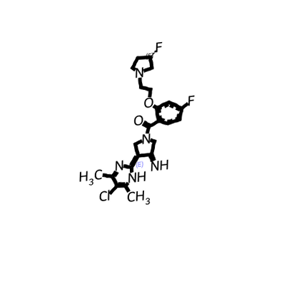 CC1=N/C(=C2\CN(C(=O)c3ccc(F)cc3OCCN3CC[C@H](F)C3)CC2=N)NC(C)=C1Cl